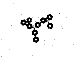 c1ccc(-c2ccc(N(c3ccc(-c4ccc5c6ccccc6n(-c6ccccc6)c5c4)cc3)c3ccc4c(c3)C3(CCCC3)c3ccccc3-4)cc2)cc1